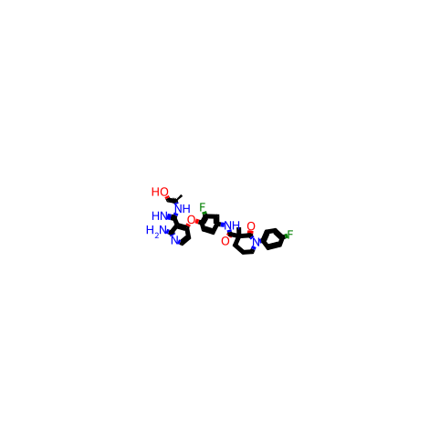 C[C@H](CO)NC(=N)c1c(Oc2ccc(NC(=O)C3(C)CCCN(c4ccc(F)cc4)C3=O)cc2F)ccnc1N